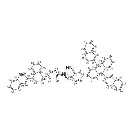 N=C1C=C(c2ccc3c(-c4ccc5ccccc5c4)c4ccccc4c(-c4ccc5ccccc5c4)c3c2)C=C/C1=N/Nc1ccc(-c2ccc(-c3cnc4ccccc4c3)c3ccccc23)cc1